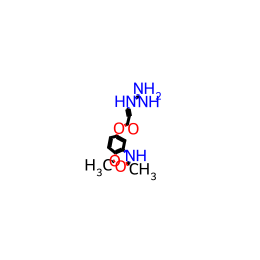 COc1ccc(OC(=O)C#CNC(=N)N)cc1NC(C)=O